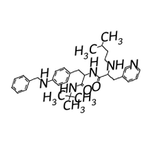 CC(C)CCNC(Cc1cccnc1)C(=O)NC(Cc1ccc(NCc2ccccc2)cc1)C(=O)NC(C)(C)C